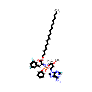 CCCCCCCCCCCCCCCCCCCOC(=O)[C@H](Cc1cc(F)cc(F)c1)NP(=O)(OC[C@](C)(CCn1cnc2c(N)nc(F)nc21)OC)Oc1ccccc1